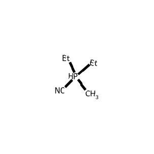 CC[PH](C)(C#N)CC